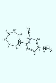 Nc1ccc(N2CCCSCC2)c(F)c1